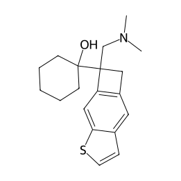 CN(C)CC1(C2(O)CCCCC2)Cc2cc3ccsc3cc21